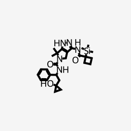 CC1(C)c2[nH]nc(NC(=O)C3([Si](C)(C)C)CCC3)c2CN1C(=O)NC(CC1(O)CC1)c1ccccc1